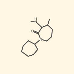 CNC1C(=O)N(C2CCCCCC2)CCCC1C